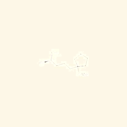 COC1(CCC[C@H](C)C(C)C)CCCC1